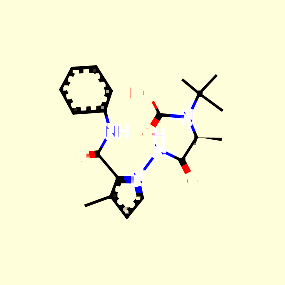 Cc1ccn(NC(=O)[C@H](C)N(C(=O)O)C(C)(C)C)c1C(=O)Nc1ccccc1